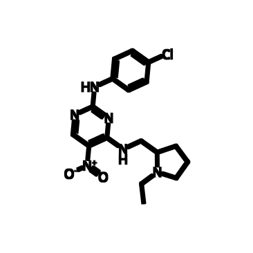 CCN1CCCC1CNc1nc(Nc2ccc(Cl)cc2)ncc1[N+](=O)[O-]